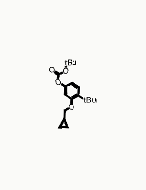 CC(C)(C)OC(=O)Oc1ccc(C(C)(C)C)c(OCC2CC2)c1